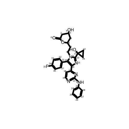 O=C1CC(O)CC(CCn2c(C3(O)CC3)nc(-c3ccnc(Nc4ccccc4)n3)c2-c2ccc(F)cc2)O1